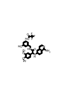 CCOc1cc(C(Nc2ccc3c(N)nccc3c2)C(=O)NCc2cccc(O)c2)ccc1OC(C)C.O=C(O)C(F)(F)F